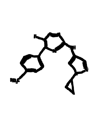 O=C(O)c1ccc(-c2nc(Nc3cnn(C4CC4)c3)ncc2F)cc1